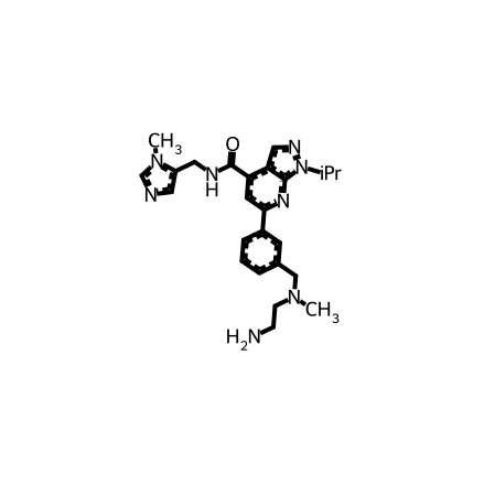 CC(C)n1ncc2c(C(=O)NCc3cncn3C)cc(-c3cccc(CN(C)CCN)c3)nc21